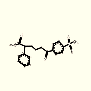 COC(=O)C(CCCC(=O)c1ccc(S(C)(=O)=O)cc1)c1ccccc1